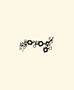 NC(=O)NS(=O)(=O)c1ccc(NC(=O)c2ccc(-c3cc(C(F)(F)F)nn3-c3ccccc3Cl)cc2)cc1